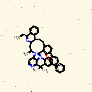 C=CC1=NC2CC(=C)[n+]3c(n4c5c(nccc53)C(C)(C)c3cc(-c5ccccc5)ccc3-4)-c3c(ccc4c3oc3cc(C)ccc34)CCC2c2ccccc21